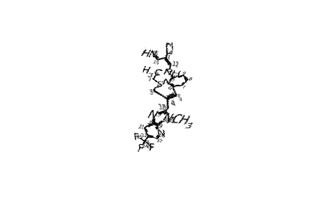 CCSC/C(=C\c1cccc(N/C=C(/Cl)C=N)n1)c1nc2cc(C(F)(F)F)cnc2n1C